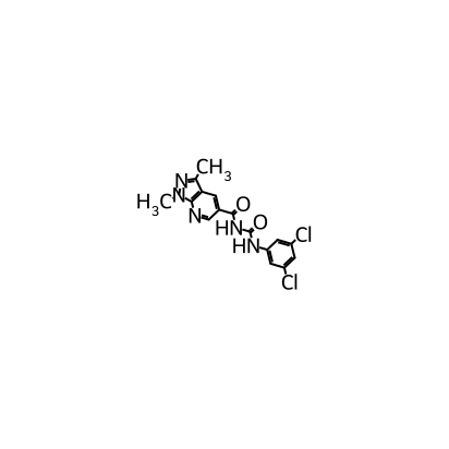 Cc1nn(C)c2ncc(C(=O)NC(=O)Nc3cc(Cl)cc(Cl)c3)cc12